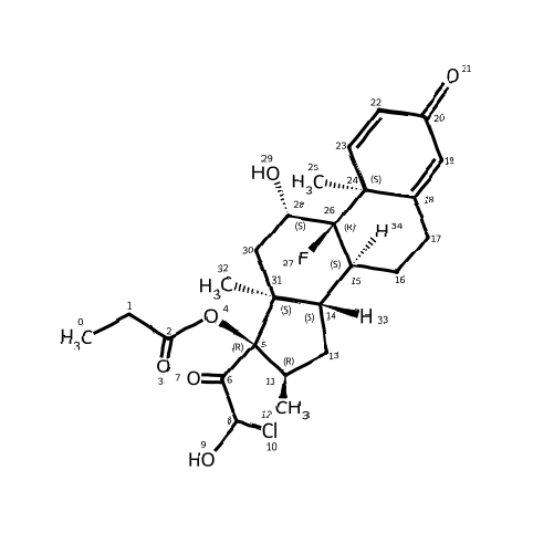 CCC(=O)O[C@]1(C(=O)C(O)Cl)[C@H](C)C[C@H]2[C@@H]3CCC4=CC(=O)C=C[C@]4(C)[C@@]3(F)[C@@H](O)C[C@@]21C